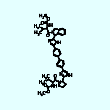 COC(=O)NC(C(=O)N1CCCC1c1nc(-c2ccc(-c3ccc(-c4cnc(C5c6ccccc6CN5C(=O)C(NC(=O)OC)C(C)C)[nH]4)cc3)cc2)c[nH]1)C(C)C